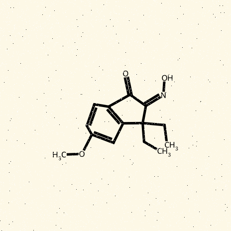 CCC1(CC)/C(=N/O)C(=O)c2ccc(OC)cc21